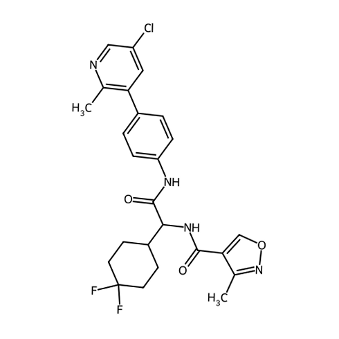 Cc1nocc1C(=O)NC(C(=O)Nc1ccc(-c2cc(Cl)cnc2C)cc1)C1CCC(F)(F)CC1